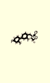 C[C@@H]1CN(Cc2ccc(-c3ccc(F)cc3F)cc2F)C(=O)O1